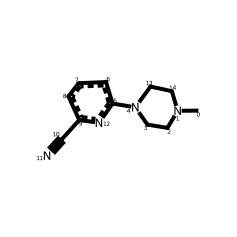 CN1CCN(c2cccc(C#N)n2)CC1